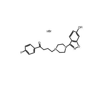 Br.O=C(CCCN1CCN(c2noc3cc(O)ccc23)CC1)c1ccc(F)cc1